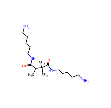 CC(C(=O)NCCCCCN)C(C)(C)C(=O)NCCCCCN